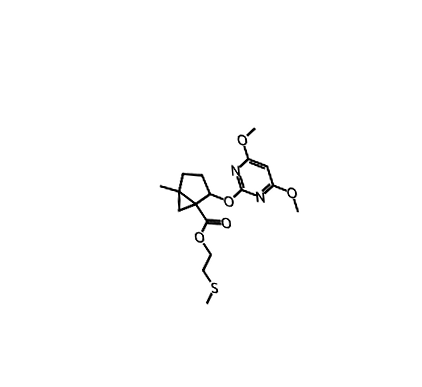 COc1cc(OC)nc(OC2CCC3(C)CC23C(=O)OCCSC)n1